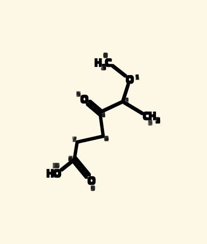 COC(C)C(=O)CCC(=O)O